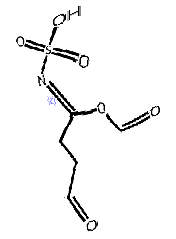 O=[C]CC/C(=N/S(=O)(=O)O)O[C]=O